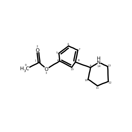 CC(=O)Oc1cccc(C2CCCCN2)c1